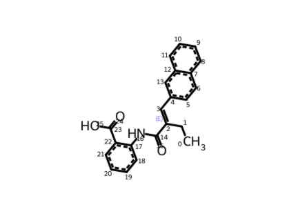 CC/C(=C\c1ccc2ccccc2c1)C(=O)Nc1ccccc1C(=O)O